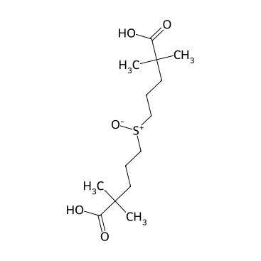 CC(C)(CCC[S+]([O-])CCCC(C)(C)C(=O)O)C(=O)O